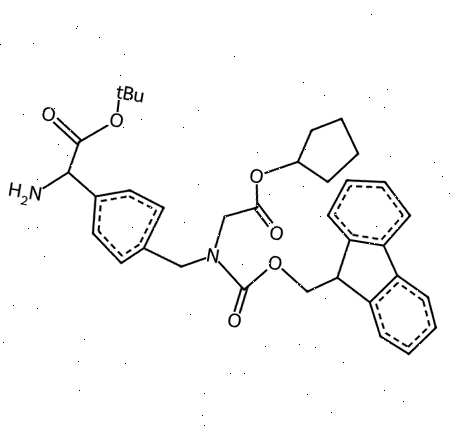 CC(C)(C)OC(=O)C(N)c1ccc(CN(CC(=O)OC2CCCC2)C(=O)OCC2c3ccccc3-c3ccccc32)cc1